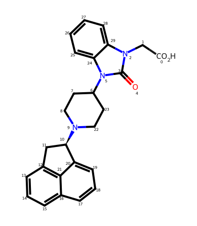 O=C(O)Cn1c(=O)n(C2CCN([C@@H]3Cc4cccc5cccc3c45)CC2)c2ccccc21